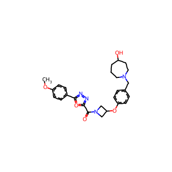 COc1ccc(-c2nnc(C(=O)N3CC(Oc4ccc(CN5CCCC(O)CC5)cc4)C3)o2)cc1